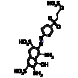 Nc1c(S(=O)(=O)O)cc2cc(S(=O)(=O)O)c(/N=N/c3ccc(S(=O)(=O)CCOS(=O)(=O)O)cc3)c(N)c2c1O